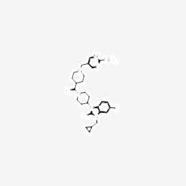 Nc1ncc(CN2CCC(C(=O)N3CCC(n4c(=O)n(CC5CC5)c5cc(F)ccc54)CC3)CC2)cn1